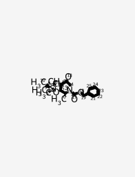 C[C@H]1[C@@H](O[Si](C)(C)C(C)(C)C)CC(=O)CN1C(=O)OCc1ccccc1